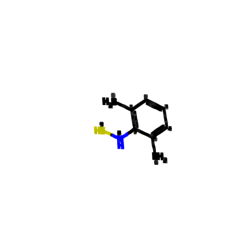 Bc1cccc(B)c1NS